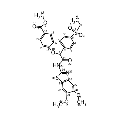 CCS(=O)(=O)c1ccc(C(Oc2ccc(C(=O)OC)cc2)C(=O)Nc2nc3cc(OC)c(OC)cc3s2)cc1